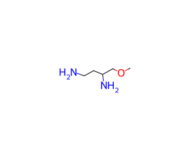 COCC(N)CCN